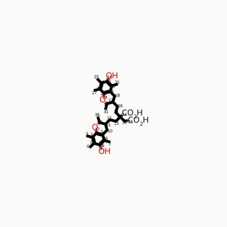 Cc1c(C)c2c(c(C)c1O)CC(CCC(CCC1Cc3c(C)c(O)c(C)c(C)c3OC1C)(CC(=O)O)C(=O)O)C(C)O2